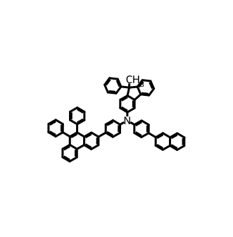 CC1(c2ccccc2)c2ccccc2-c2cc(N(c3ccc(-c4ccc5ccccc5c4)cc3)c3ccc(-c4ccc5c(c4)c(-c4ccccc4)c(-c4ccccc4)c4ccccc45)cc3)ccc21